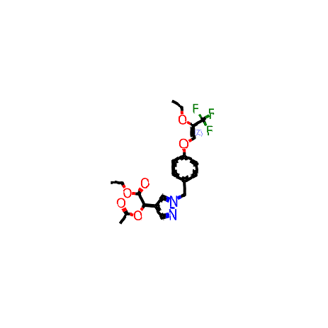 CCOC(=O)C(OC(C)=O)c1cnn(Cc2ccc(O/C=C(\OCC)C(F)(F)F)cc2)c1